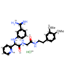 COc1ccc(CCNC(=O)CNC(=O)C(Nc2cccc(C(=N)N)c2)c2ccccn2)cc1OC.Cl